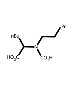 CCCCC(C(=O)O)N(CCC(C)C)C(=O)O